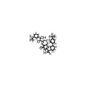 O=C([C@H](O)c1cccc(C(F)(F)F)c1)N1CCCc2nc(C3(c4cccc(-c5ccc(C(F)(F)F)nc5)c4)CC3)[nH]c(=O)c2C1